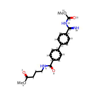 COC(=O)CCCNC(=O)c1ccc(-c2ccc(C(=N)NC(=O)OC)cc2)cc1